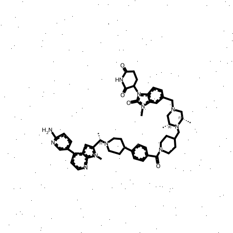 C[C@@H]1CN(Cc2ccc3c(c2)n(C)c(=O)n3C2CCC(=O)NC2=O)C[C@H](C)N1CC1CCN(C(=O)c2ccc(C3CCN([C@@H](C)c4cc5c(-c6ccc(N)nc6)ccnc5n4C)CC3)cc2)CC1